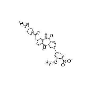 COc1cc(-c2ccc3c(c2)Nc2ccc(CC(=O)N4CCC(N)C4)cc2NC3=O)ccc1[N+](=O)[O-]